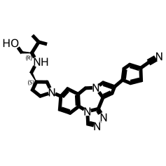 CC(C)[C@H](CO)NC[C@@H]1CCN(c2ccc3c(c2)Cn2cc(-c4ccc(C#N)cc4)cc2-c2nncn2-3)C1